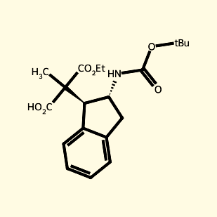 CCOC(=O)C(C)(C(=O)O)[C@@H]1c2ccccc2C[C@H]1NC(=O)OC(C)(C)C